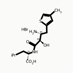 Br.Cc1csc(C[C@@H](N)[C@@H](O)C(=O)N[C@@H](CC(C)C)C(=O)O)c1